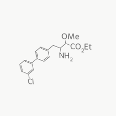 CCOC(=O)C(OC)C(N)Cc1ccc(-c2cccc(Cl)c2)cc1